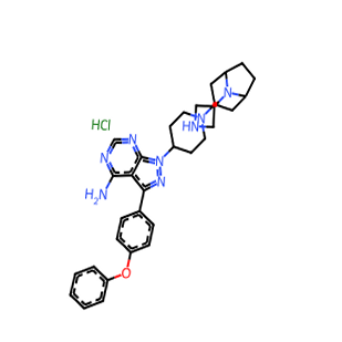 Cl.Nc1ncnc2c1c(-c1ccc(Oc3ccccc3)cc1)nn2C1CCN(C2CC3CCC(C2)N3C2CNC2)CC1